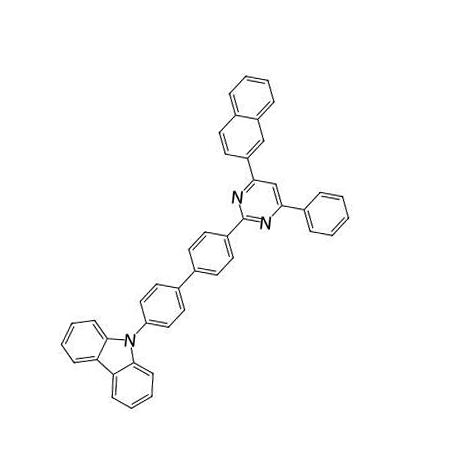 c1ccc(-c2cc(-c3ccc4ccccc4c3)nc(-c3ccc(-c4ccc(-n5c6ccccc6c6ccccc65)cc4)cc3)n2)cc1